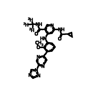 [2H]C([2H])([2H])NC(=O)c1cnc(NC(=O)C2CC2)cc1Nc1cccc(-c2cnc(-n3cncn3)cn2)c1OC